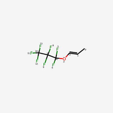 CC=COC(F)(F)C(F)(F)C(F)(F)F